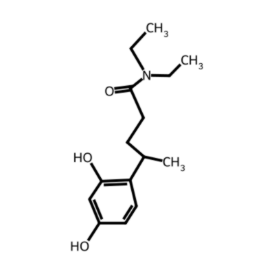 CCN(CC)C(=O)CCC(C)c1ccc(O)cc1O